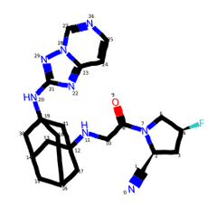 N#C[C@@H]1C[C@H](F)CN1C(=O)CNC12CC3CC(C1)CC(Nc1nc4ccncn4n1)(C3)C2